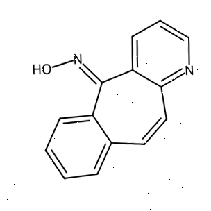 O/N=c1\c2ccccc2ccc2ncccc12